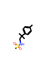 Cc1ccc(C(C)(C)CNS(C)(=O)=O)cc1